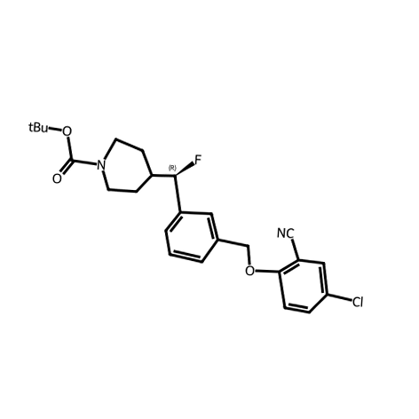 CC(C)(C)OC(=O)N1CCC([C@@H](F)c2cccc(COc3ccc(Cl)cc3C#N)c2)CC1